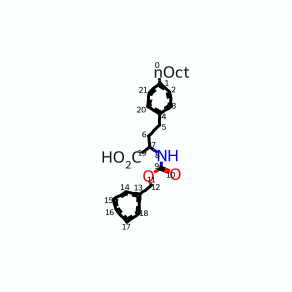 CCCCCCCCc1ccc(CCC(NC(=O)OCc2ccccc2)C(=O)O)cc1